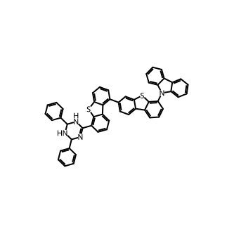 c1ccc(C2N=C(c3cccc4c3sc3cccc(-c5ccc6c(c5)sc5c(-n7c8ccccc8c8ccccc87)cccc56)c34)NC(c3ccccc3)N2)cc1